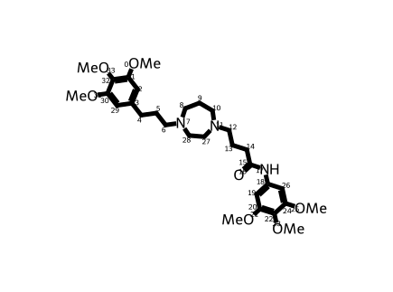 COc1cc(CCCN2CCCN(CCCC(=O)Nc3cc(OC)c(OC)c(OC)c3)CC2)cc(OC)c1OC